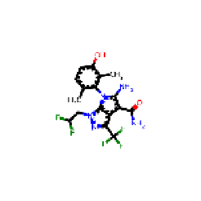 Cc1ccc(O)c(C)c1-n1c(N)c(C(N)=O)c2c(C(F)(F)F)nn(CC(F)F)c21